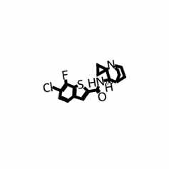 O=C(N[C@@H]1C2CCN(CC2)C12CC2)c1cc2ccc(Cl)c(F)c2s1